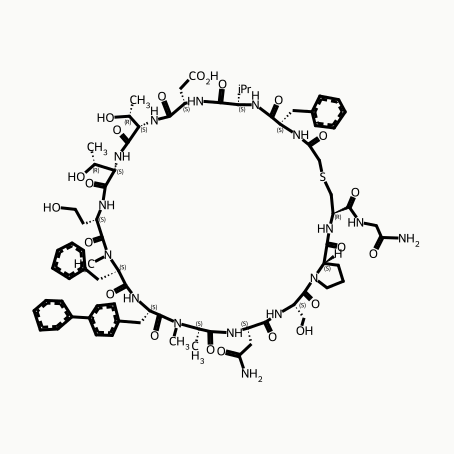 CC(C)[C@@H]1NC(=O)[C@H](Cc2ccccc2)NC(=O)CSC[C@@H](C(=O)NCC(N)=O)NC(=O)[C@@H]2CCCN2C(=O)[C@H](CO)NC(=O)[C@H](CC(N)=O)NC(=O)[C@H](C)N(C)C(=O)[C@H](Cc2ccc(-c3ccccc3)cc2)NC(=O)[C@H](Cc2ccccc2)N(C)C(=O)[C@H](CCO)NC(=O)[C@H]([C@@H](C)O)NC(=O)[C@H]([C@@H](C)O)NC(=O)[C@H](CC(=O)O)NC1=O